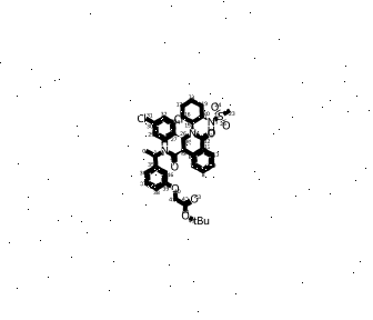 CC(NC(=O)[C@@H]1c2ccccc2C(=O)N([C@H]2CCCC[C@@H]2NS(C)(=O)=O)[C@H]1c1ccc(Cl)cc1Cl)c1cccc(OCC(=O)OC(C)(C)C)c1